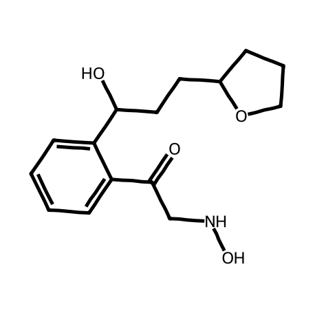 O=C(CNO)c1ccccc1C(O)CCC1CCCO1